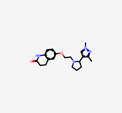 Cc1nn(C)cc1C1CCCN1CCOc1ccc2c(c1)CCC(=O)N2